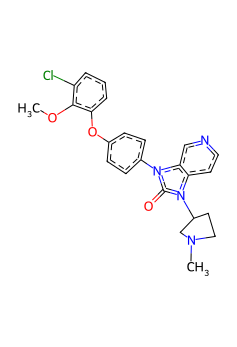 COc1c(Cl)cccc1Oc1ccc(-n2c(=O)n(C3CCN(C)C3)c3ccncc32)cc1